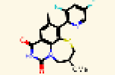 CO[C@@H]1CSc2c(-c3ncc(F)cc3F)c(C)cc3c(=O)[nH]c(=O)n(c23)C1